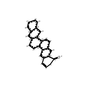 O=C1CC=Cc2cc3c(ccc4c5cc6ccccc6cc5ccc34)cc21